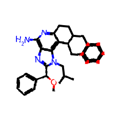 COC(c1ccccc1)c1nc2c(N)nc3c(c2n1CC(C)C)C(Cc1ccccc1)C(Cc1ccccc1)CC3